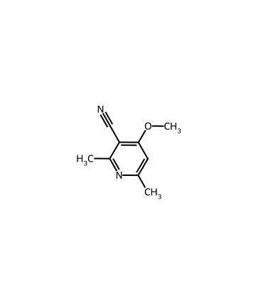 COc1cc(C)nc(C)c1C#N